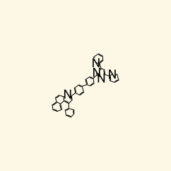 c1ccc(-c2cc(-c3ccc(-c4ccc(-c5nc(-c6ccccn6)cc(-c6ccccn6)n5)cc4)cc3)nc3ccc4ccccc4c23)cc1